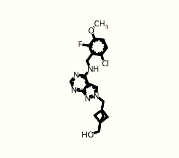 COc1ccc(Cl)c(CNc2ncnc3nn(CC45CC(CO)(C4)C5)cc23)c1F